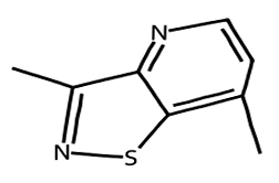 Cc1nsc2c(C)ccnc12